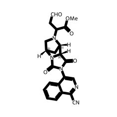 COC(=O)C(CC=O)N1C[C@@H]2C[C@H]1[C@@H]1C(=O)N(c3cnc(C#N)c4ccccc34)C(=O)N21